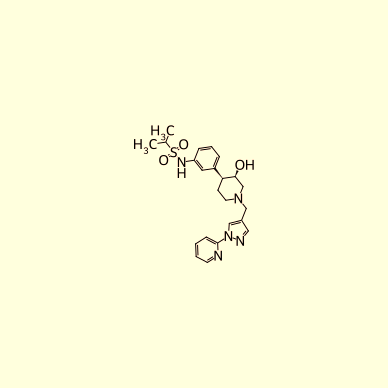 CC(C)S(=O)(=O)Nc1cccc([C@@H]2CCN(Cc3cnn(-c4ccccn4)c3)C[C@@H]2O)c1